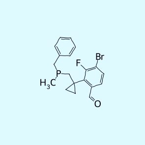 CP(Cc1ccccc1)CC1(c2c(C=O)ccc(Br)c2F)CC1